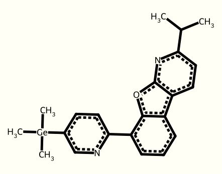 CC(C)c1ccc2c(n1)oc1c(-c3cc[c]([Ge]([CH3])([CH3])[CH3])cn3)cccc12